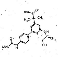 CNC(=O)Nc1ccc(-c2nc(N[C@@H](C)CO)cc(C(C)(C)[S+]([O-])C(C)(C)C)n2)cc1